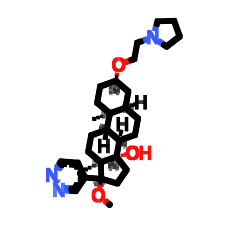 CO[C@]1(c2ccnnc2)CC[C@]2(O)[C@@H]3CC[C@@H]4C[C@@H](OCCN5CCCC5)CC[C@]4(C)[C@H]3CC[C@]12C